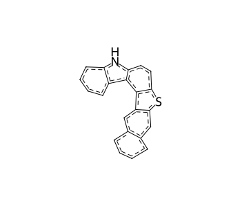 c1ccc2cc3c(cc2c1)sc1ccc2[nH]c4ccccc4c2c13